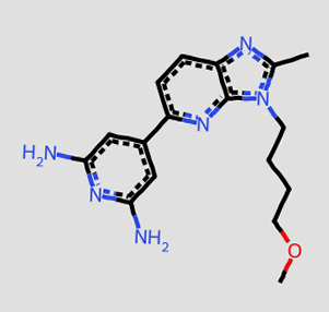 COCCCCn1c(C)nc2ccc(-c3cc(N)nc(N)c3)nc21